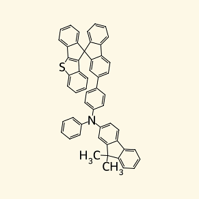 CC1(C)c2ccccc2-c2ccc(N(c3ccccc3)c3ccc(-c4ccc5c(c4)C4(c6ccccc6-5)c5ccccc5-c5sc6ccccc6c54)cc3)cc21